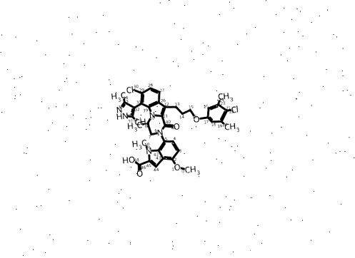 COc1ccc(N2C[C@@H](C)n3c(c(CCCOc4cc(C)c(Cl)c(C)c4)c4ccc(Cl)c(-c5c(C)n[nH]c5C)c43)C2=O)c2c1cc(C(=O)O)n2C